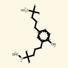 CC(C)(CCCc1cc(CCCC(C)(C)C(=O)O)ccc1O)OC=O